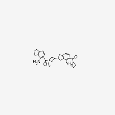 C=C(c1ccc2c(c1N)CCC2)C1CC(C2Cc3ccc(C(=O)C4CCC4)c(N)c3C2)C1